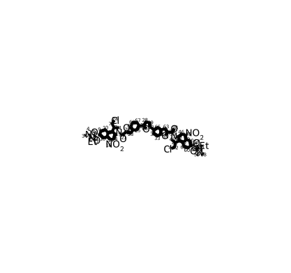 CCN(N(C)C)S(=O)(=O)c1ccc2c3c(cc([N+](=O)[O-])c2c1)N(C(=O)c1cc2cc(-c4ccc(-c5ccc6oc(C(=O)N7CC(CCl)c8c7cc([N+](=O)[O-])c7cc(S(=O)(=O)N(CC)N(C)C)ccc87)cc6c5)o4)ccc2o1)CC3CCl